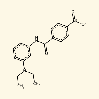 CCN(CC)c1cccc(NC(=O)c2ccc([N+](=O)[O-])cc2)c1